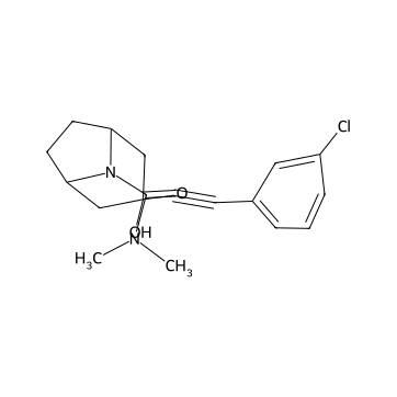 CN(C)C(=O)N1C2CCC1CC(O)(C#Cc1cccc(Cl)c1)C2